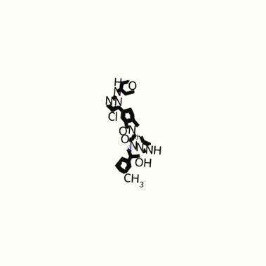 Cc1cccc(C(/C=N/C(=O)[C@@H](Cc2c[nH]cn2)N2Cc3ccc(-c4nc(NC5CCOCC5)ncc4Cl)cc3C2=O)CO)c1